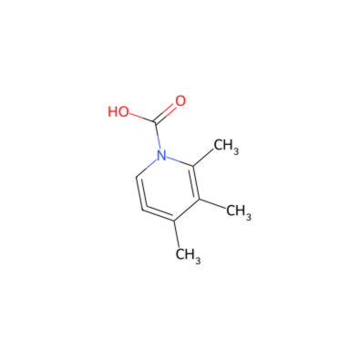 CC1=C=CN(C(=O)O)C(C)=C1C